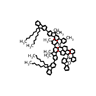 CCCCCCCCC1(CCCCCCCC)c2ccccc2-c2ccc(-c3ccc4c(c3)C(C)(C)c3cc(-c5cc(C)ccc5N(c5ccc(C)cc5-c5ccc6c(c5)C(C)(C)c5cc(-c7ccc8c(c7)C(CCCCCCCC)(CCCCCCCC)c7ccccc7-8)ccc5-6)c5ccc6ccc7c(N(c8ccccc8-c8ccccc8)c8cccc9c8oc8ccccc89)ccc8ccc5c6c87)ccc3-4)cc21